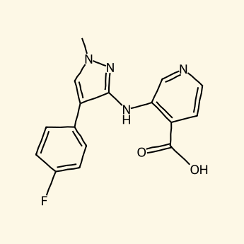 Cn1cc(-c2ccc(F)cc2)c(Nc2cnccc2C(=O)O)n1